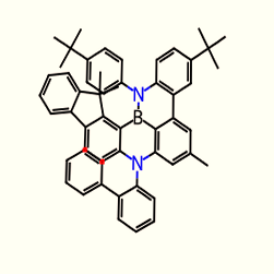 Cc1cc2c3c(c1)N(c1ccccc1-c1ccccc1)c1ccc4c(c1B3N(c1ccc(C(C)(C)C)cc1)c1ccc(C(C)(C)C)cc1-2)C(C)(C)c1ccccc1-4